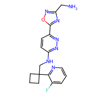 NCc1noc(-c2ccc(NCC3(c4ncccc4F)CCC3)nn2)n1